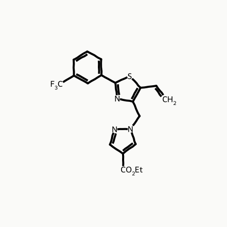 C=Cc1sc(-c2cccc(C(F)(F)F)c2)nc1Cn1cc(C(=O)OCC)cn1